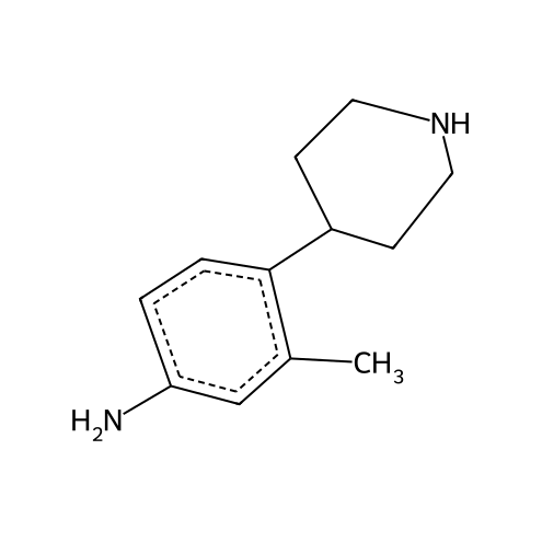 Cc1cc(N)ccc1C1CCNCC1